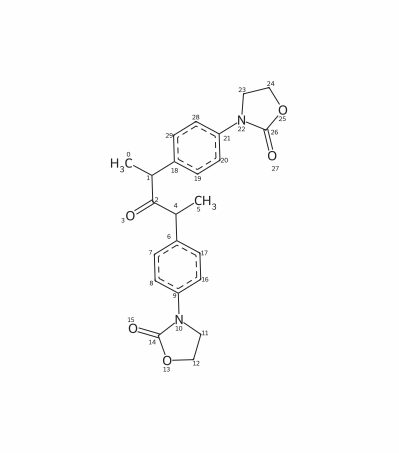 CC(C(=O)C(C)c1ccc(N2CCOC2=O)cc1)c1ccc(N2CCOC2=O)cc1